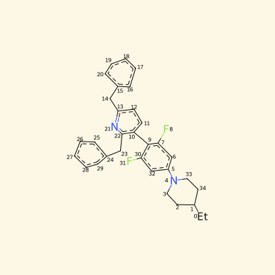 CCC1CCN(c2cc(F)c(-c3ccc(Cc4ccccc4)nc3Cc3ccccc3)c(F)c2)CC1